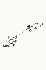 COc1c(F)c(F)c(COCCCCCCCC(=O)N[C@H](CC(=O)O)CN(C)C)c(F)c1F